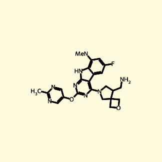 CNc1cc(F)cc2c1[nH]c1nc(Oc3cnc(C)nc3)nc(N3CC(CN)C4(COC4)C3)c12